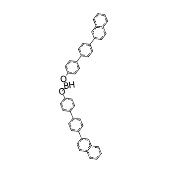 B(Oc1ccc(-c2ccc(-c3ccc4ccccc4c3)cc2)cc1)Oc1ccc(-c2ccc(-c3ccc4ccccc4c3)cc2)cc1